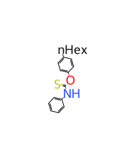 CCCCCCc1ccc(OC(=S)Nc2ccccc2)cc1